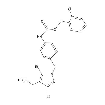 CCc1nn(Cc2ccc(NC(=O)OCc3ccccc3Cl)cc2)c(CC)c1CC(=O)O